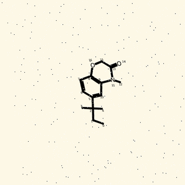 CCC(C)(C)c1ccc2c(c1)N(C)C(=O)CO2